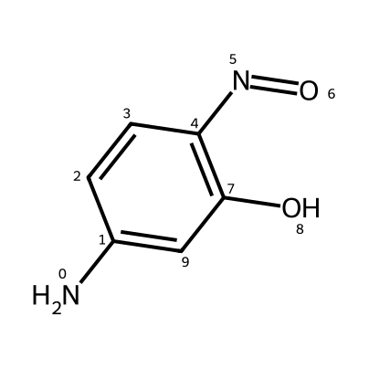 Nc1ccc(N=O)c(O)c1